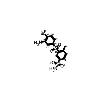 Cc1ccc(S(N)(=O)=O)cc1S(=O)(=O)c1ccc(Br)c(N)c1